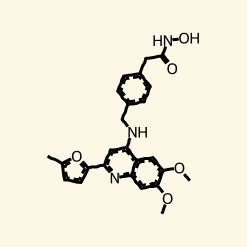 COc1cc2nc(-c3ccc(C)o3)cc(NCc3ccc(CC(=O)NO)cc3)c2cc1OC